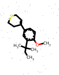 CCC(C)(C)c1cc(C2=CCSCC2)ccc1OC